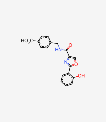 O=C(O)c1ccc(CNC(=O)c2coc(-c3ccccc3O)n2)cc1